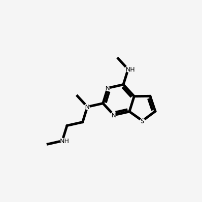 CNCCN(C)c1nc(NC)c2ccsc2n1